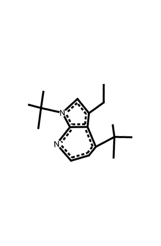 CCc1cn(C(C)(C)C)c2nccc(C(C)(C)C)c12